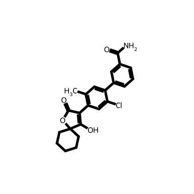 Cc1cc(-c2cccc(C(N)=O)c2)c(Cl)cc1C1=C(O)C2(CCCCC2)OC1=O